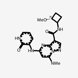 CNc1cc(Nc2ccc[nH]c2=O)nc2c(C(=O)NC3CC[C@H]3OC)cnn12